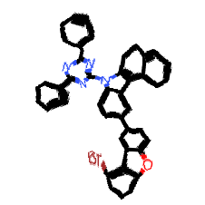 Brc1cccc2oc3ccc(-c4ccc5c(c4)c4c6ccccc6ccc4n5-c4nc(-c5ccccc5)nc(-c5ccccc5)n4)cc3c12